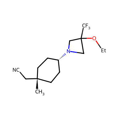 CCOC1(C(F)(F)F)CN([C@H]2CC[C@@](C)(CC#N)CC2)C1